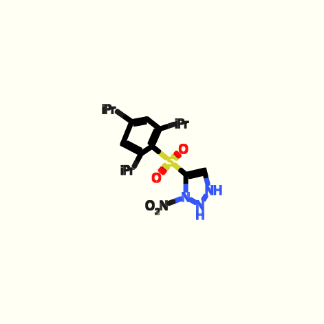 CC(C)c1cc(C(C)C)c(S(=O)(=O)C2=CNNN2[N+](=O)[O-])c(C(C)C)c1